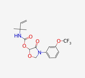 C=CC(C)(C)NC(=O)OC1OCN(c2cccc(OC(F)(F)F)c2)C1=O